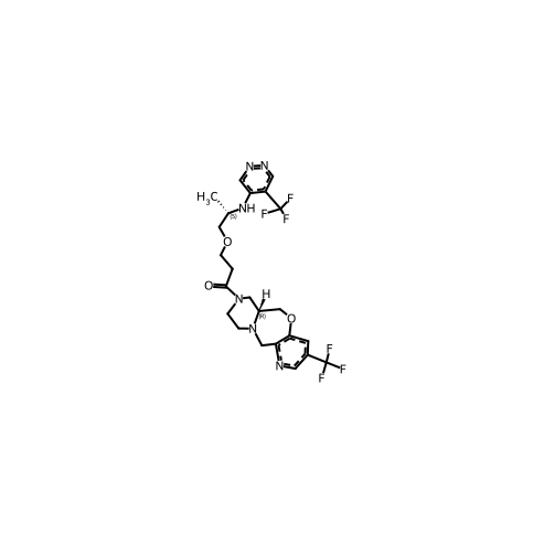 C[C@@H](COCCC(=O)N1CCN2Cc3ncc(C(F)(F)F)cc3OC[C@H]2C1)Nc1cnncc1C(F)(F)F